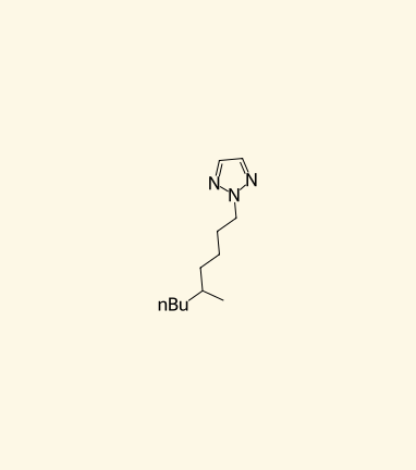 CCCCC(C)CCCCn1nccn1